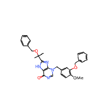 COc1ccc(Cn2cnc(=O)c3[nH]c(C(C)(C)OCc4ccccc4)nc32)cc1OCc1ccccc1